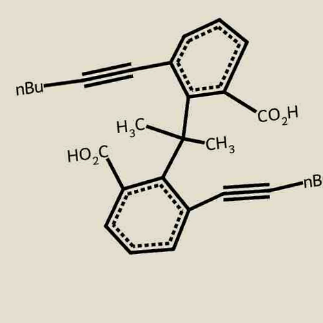 CCCCC#Cc1cccc(C(=O)O)c1C(C)(C)c1c(C#CCCCC)cccc1C(=O)O